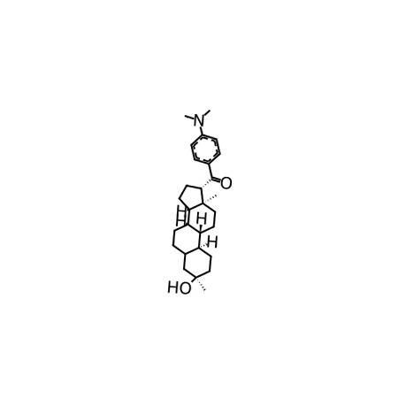 CN(C)c1ccc(C(=O)[C@H]2CC[C@H]3[C@@H]4CCC5C[C@](C)(O)CC[C@@H]5[C@H]4CC[C@]23C)cc1